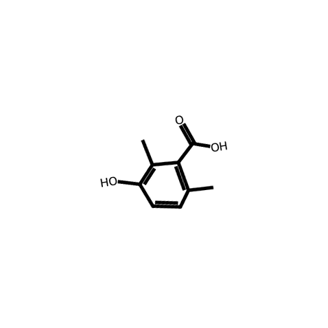 Cc1ccc(O)c(C)c1C(=O)O